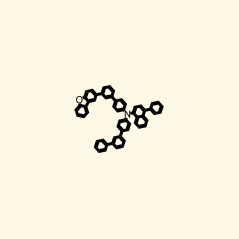 c1ccc(-c2cccc(-c3ccc(N(c4ccc(-c5cccc(-c6ccc7oc8ccccc8c7c6)c5)cc4)c4ccc(-c5ccccc5)c5ccccc45)cc3)c2)cc1